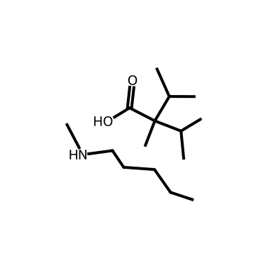 CC(C)C(C)(C(=O)O)C(C)C.CCCCCNC